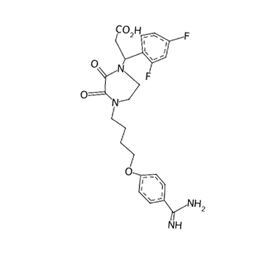 N=C(N)c1ccc(OCCCCN2CCN(C(CC(=O)O)c3ccc(F)cc3F)C(=O)C2=O)cc1